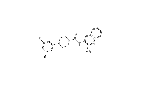 Cc1nc2ccccc2cc1NC(=S)N1CCN(c2cc(F)cc(F)c2)CC1